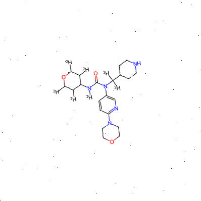 [2H]C1OC([2H])C([2H])C(N([2H])C(=O)N(c2ccc(N3CCOCC3)nc2)C([2H])([2H])C2CCNCC2)C1[2H]